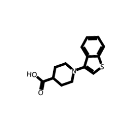 O=C(O)C1CCN(c2csc3ccccc23)CC1